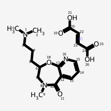 CN(C)CCCC1CN(C)C(=O)c2cccnc2O1.O=C(O)/C=C/C(=O)O